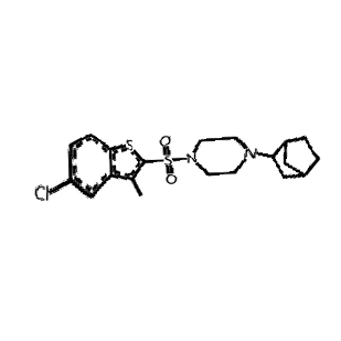 Cc1c(S(=O)(=O)N2CCN(C3CC4CCC3C4)CC2)sc2ccc(Cl)cc12